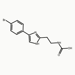 O=C(O)NCCc1nc(-c2ccc(Br)cc2)c[nH]1